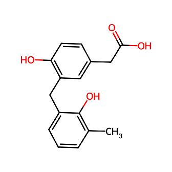 Cc1cccc(Cc2cc(CC(=O)O)ccc2O)c1O